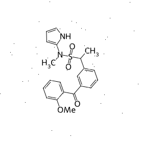 COc1ccccc1C(=O)c1cccc(C(C)S(=O)(=O)N(C)c2ccc[nH]2)c1